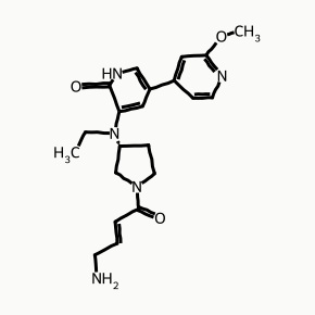 CCN(c1cc(-c2ccnc(OC)c2)c[nH]c1=O)[C@@H]1CCN(C(=O)C=CCN)C1